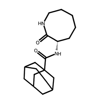 O=C1NCCCCC[C@@H]1NC(=O)C12CC3CC(CC(C3)C1)C2